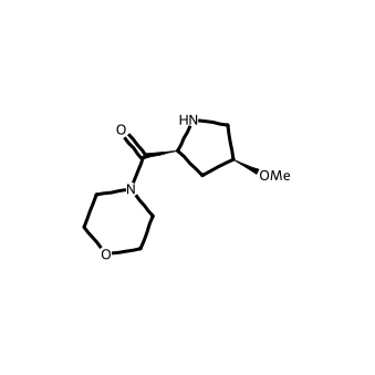 CO[C@@H]1CN[C@H](C(=O)N2CCOCC2)C1